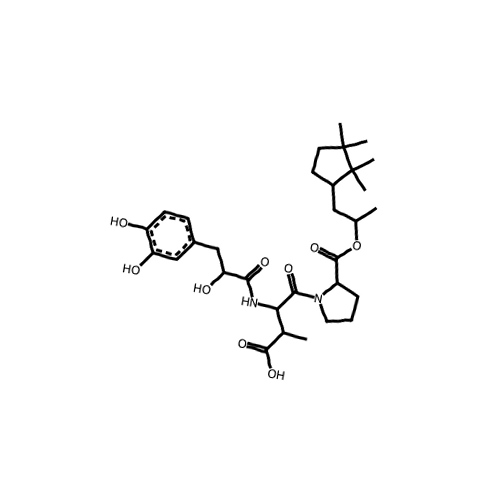 CC(CC1CCC(C)(C)C1(C)C)OC(=O)C1CCCN1C(=O)C(NC(=O)C(O)Cc1ccc(O)c(O)c1)C(C)C(=O)O